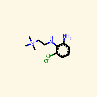 C[N+](C)(C)CCNc1c(N)cccc1Cl.[Cl-]